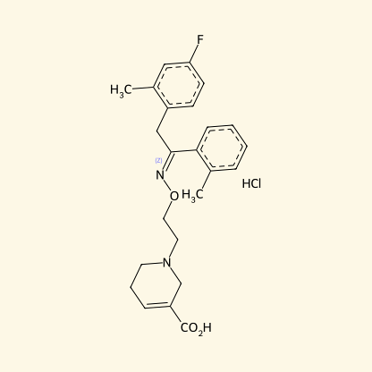 Cc1cc(F)ccc1C/C(=N/OCCN1CCC=C(C(=O)O)C1)c1ccccc1C.Cl